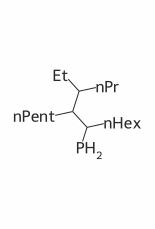 CCCCCCC(P)C(CCCCC)C(CC)CCC